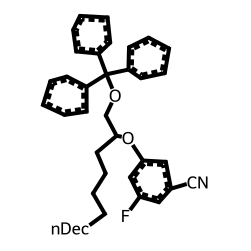 CCCCCCCCCCCCCCC(COC(c1ccccc1)(c1ccccc1)c1ccccc1)Oc1cc(F)cc(C#N)c1